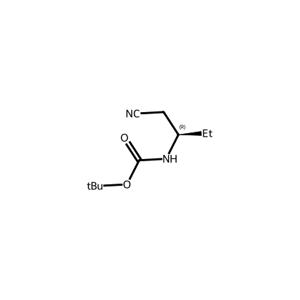 CC[C@H](CC#N)NC(=O)OC(C)(C)C